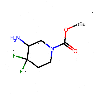 CC(C)(C)OC(=O)N1CCC(F)(F)C(N)C1